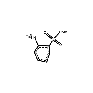 COS(=O)(=O)c1ccccc1N.N